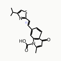 Cc1cc(=O)c2ccc(/C=C/c3nc(C(C)C)cs3)cc2n1C(=O)O